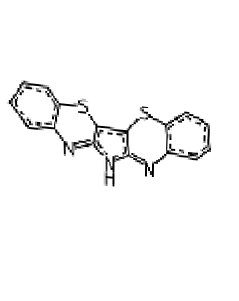 c1ccc2c(c1)N=c1[nH]c3c(c1S2)Sc1ccccc1N=3